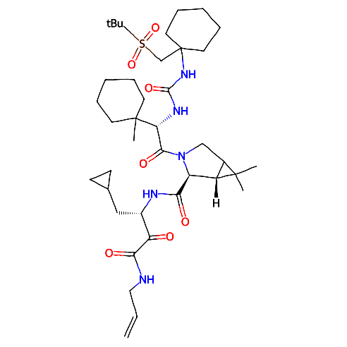 C=CCNC(=O)C(=O)[C@H](CC1CC1)NC(=O)[C@@H]1[C@@H]2C(CN1C(=O)[C@@H](NC(=O)NC1(CS(=O)(=O)C(C)(C)C)CCCCC1)C1(C)CCCCC1)C2(C)C